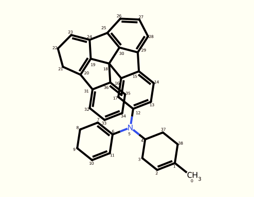 CC1=CCC(N(C2=CCCC=C2)c2ccc3c(c2)C24C5=C(CCC=C5c5cccc-3c52)c2ccccc24)CC1